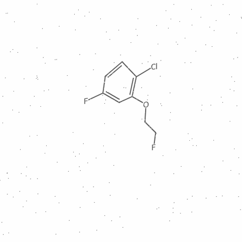 FCCOc1cc(F)ccc1Cl